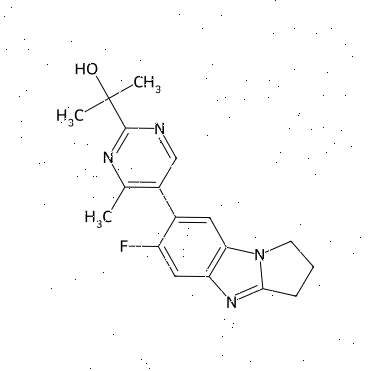 Cc1nc(C(C)(C)O)ncc1-c1cc2c(cc1F)nc1n2CCC1